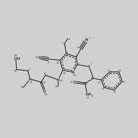 CCc1c(C#N)c(SC(C(N)=O)c2ccccc2)nc(N(C)CC(=O)N(C)CCO)c1C#N